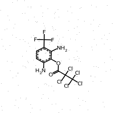 Nc1ccc(C(F)(F)F)c(N)c1OC(=O)C(Cl)(Cl)C(Cl)(Cl)Cl